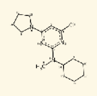 CN(c1nc(Cl)cc(N2CCCC2)n1)C1CCCCC1